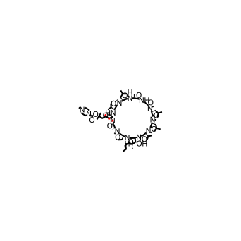 C/C=C/C[C@@H](C)[C@@H](O)[C@H]1C(=O)N[C@@H](CC)C(=O)N(C)[C@H](C)C(=O)N(C)[C@](C=O)([C@H](C)CCC(C)(C)OC(=O)N2CCN(C)CC2)N[C@@H](C(C)C)C(=O)N(C)[C@@H](CC(C)C)C(=O)N[C@@H](C)C(=O)N[C@H](C)C(=O)N(C)[C@@H](CC(C)C)C(=O)N(C)[C@@H](CC(C)C)C(=O)N(C)[C@@H](C(C)C)C(=O)N1C